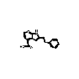 O=C(O)c1ccnc2[nH]c(CCc3ccccc3)cc12